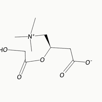 C[N+](C)(C)C[C@@H](CC(=O)[O-])OC(=O)CO